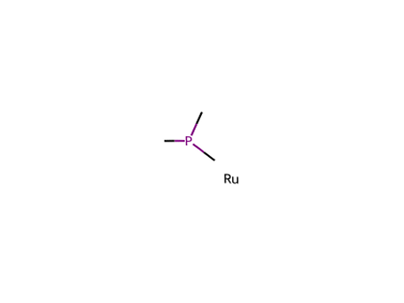 CP(C)C.[Ru]